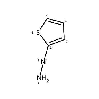 [NH2][Ni][c]1cccs1